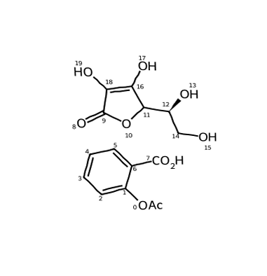 CC(=O)Oc1ccccc1C(=O)O.O=C1OC([C@@H](O)CO)C(O)=C1O